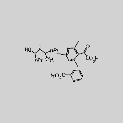 CCCC(O)C(C)C(O)CCC.Cc1cc(C)c(C(=O)C(=O)O)c(C)c1.O=C(O)c1ccccc1